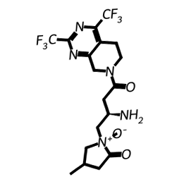 CC1CC(=O)[N+]([O-])(C[C@H](N)CC(=O)N2CCc3c(nc(C(F)(F)F)nc3C(F)(F)F)C2)C1